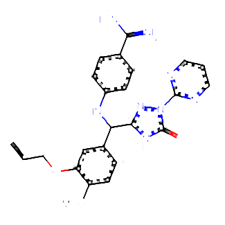 C=CCOc1cc(C(Nc2ccc(C(=N)N)cc2)c2nn(-c3ncccn3)c(=O)[nH]2)ccc1OC